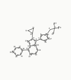 FC(F)(F)Cn1cc(-c2c(C3CC3)nc3c(-c4ccncc4)nccn23)cn1